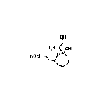 CCCCCCCCCCC1CCCCC(O)(C(N)CO)O1